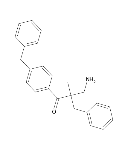 CC(CN)(Cc1ccccc1)C(=O)c1ccc(Cc2ccccc2)cc1